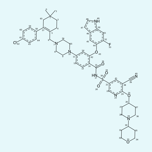 CC1(C)CCC(CN2CCN(c3ccc(C(=O)NS(=O)(=O)c4cnc(OC5CCN(C6CCOCC6)CC5)c(C#N)c4)c(Oc4cc5cc[nH]c5cc4F)c3)CC2)=C(c2ccc(Cl)cc2)C1